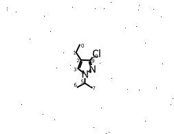 CCc1cn(C(C)C)nc1Cl